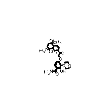 CC1(C)CCC(C)(C)c2cc(C(=O)COc3ccc(C(N)=O)c(O)c3N3CCOCC3)ccc21